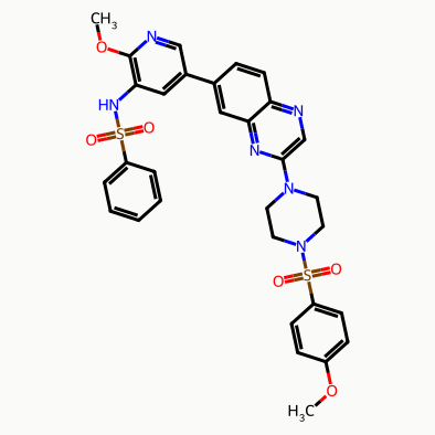 COc1ccc(S(=O)(=O)N2CCN(c3cnc4ccc(-c5cnc(OC)c(NS(=O)(=O)c6ccccc6)c5)cc4n3)CC2)cc1